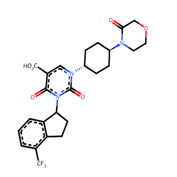 O=C(O)c1cn([C@H]2CC[C@H](N3CCOCC3=O)CC2)c(=O)n(C2CCc3c2cccc3C(F)(F)F)c1=O